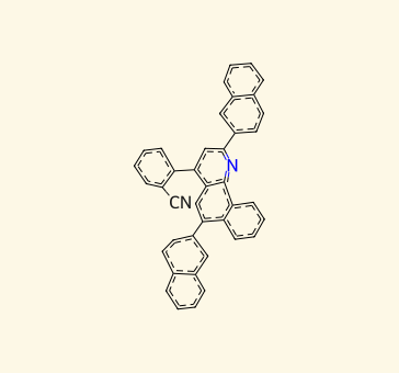 N#Cc1ccccc1-c1cc(-c2ccc3ccccc3c2)nc2c1cc(-c1ccc3ccccc3c1)c1ccccc12